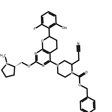 CN1CCC[C@H]1COc1nc2c(c(N3CCN(C(=O)OCc4ccccc4)C(CC#N)C3)n1)CCC(c1c(O)cccc1F)O2